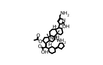 CC(=O)O[C@H]1C[C@@]2(C)[C@@H](C[C@@H](N)[C@H]3[C@@]4(C)CC[C@@H](O)[C@](C)(C5C=C(CN)N=N5)[C@@H]4CC[C@@]32N)/C1=C(/C(=O)O)C1CCCC(=C2CCCC2)C1